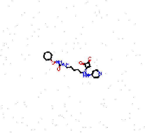 O=C(NCCCCCN(Nc1ccncc1)c1cc(=O)c1=O)NOC1CCCCC1